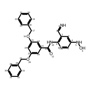 N=Cc1cc(NO)cnc1NC(=O)c1cc(OCc2ccccc2)cc(OCc2ccccc2)c1